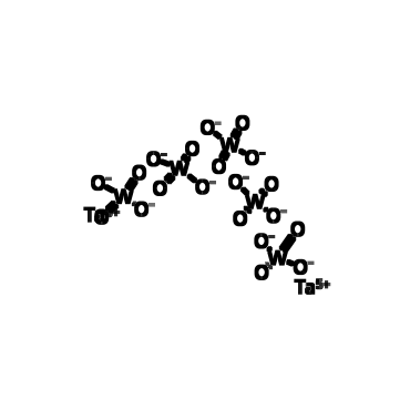 [O]=[W](=[O])([O-])[O-].[O]=[W](=[O])([O-])[O-].[O]=[W](=[O])([O-])[O-].[O]=[W](=[O])([O-])[O-].[O]=[W](=[O])([O-])[O-].[Ta+5].[Ta+5]